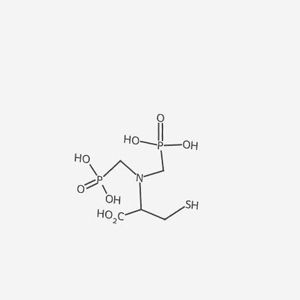 O=C(O)C(CS)N(CP(=O)(O)O)CP(=O)(O)O